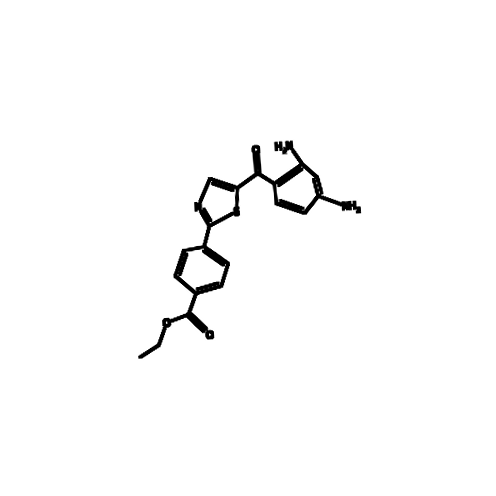 CCOC(=O)c1ccc(-c2ncc(C(=O)c3ccc(N)cc3N)s2)cc1